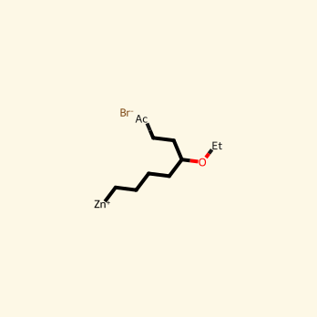 CCOC(CCC[CH2][Zn+])CCC(C)=O.[Br-]